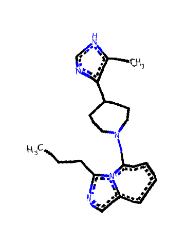 CCCc1ncc2cccc(N3CCC(c4nc[nH]c4C)CC3)n12